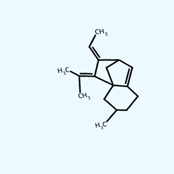 CC=C1C(=C(C)C)C23CC(C)CCC2=CC1C3